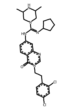 CC1CN(C(=NC2CCCC2)Nc2ccc3c(=O)n(CCc4ccc(Cl)cc4Cl)cnc3c2)CC(C)N1